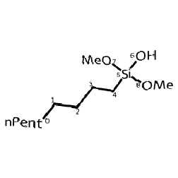 CCCCCCCCC[Si](O)(OC)OC